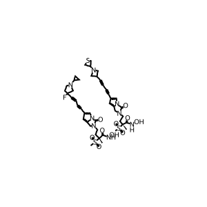 C[C@@](CCN1Cc2cc(C#CC#CC3(F)CCN(C4CC4)C3)cn2C1=O)(C(=O)NO)S(C)(=O)=O.C[C@@](CCN1Cc2cc(C#CC#CC3CN(C4CSC4)C3)cn2C1=O)(C(=O)NO)S(C)(=O)=O